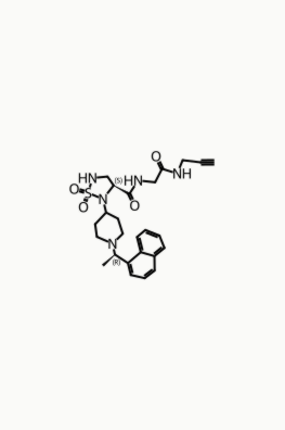 C#CCNC(=O)CNC(=O)[C@@H]1CNS(=O)(=O)N1C1CCN([C@H](C)c2cccc3ccccc23)CC1